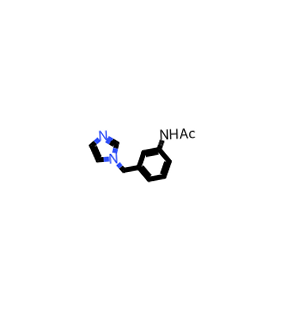 CC(=O)Nc1cccc(Cn2ccnc2)c1